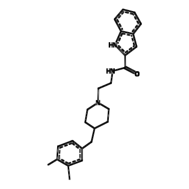 Cc1ccc(CC2CCN(CCNC(=O)c3cc4ccccc4[nH]3)CC2)cc1C